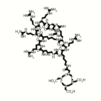 CC(=O)NC(CCCNC(=N)N)C(=O)NC(CCCNC(=N)N)C(=O)NC(CCCCNC(=O)[C@H](CCCNC(=N)N)NC(=O)[C@H](CCCNC(=N)N)NC(=O)CCCCCNC(=O)CN1CCN(CC(=O)O)CCN(CC(=O)O)CCN(CC(=O)O)CC1)C(=O)N[C@@H](CCCNC(=N)N)C(=O)N[C@@H](CCCNC(=N)N)C(=O)N[C@@H](CCCNC(=N)N)C(=O)N[C@@H](CCCNC(=N)N)C(N)=O